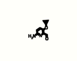 Nc1ccc(OC2CC2)c(C=O)n1